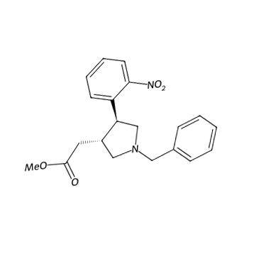 COC(=O)C[C@H]1CN(Cc2ccccc2)C[C@@H]1c1ccccc1[N+](=O)[O-]